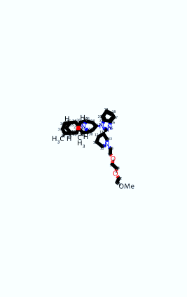 COCCOCCOCCN1CCC[C@@H](c2nc3ccccc3n2[C@@H]2C[C@@H]3CC[C@@H](C)[C@H](C2)N3[C@H]2C[C@@H]3CC[C@@H](C)[C@@H](C3)C2)C1